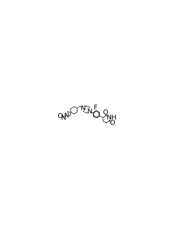 O=NN1CC2(CCC(CN3CCN(c4ccc(C5CCC(=O)NC5=O)cc4F)CC3)CC2)C1